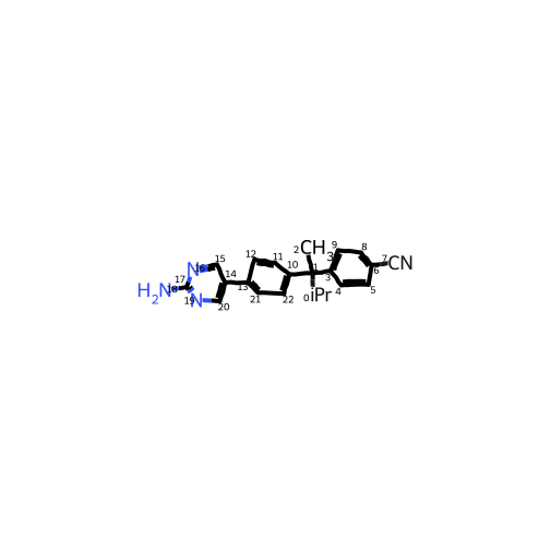 CC(C)C(C)(c1ccc(C#N)cc1)c1ccc(-c2cnc(N)nc2)cc1